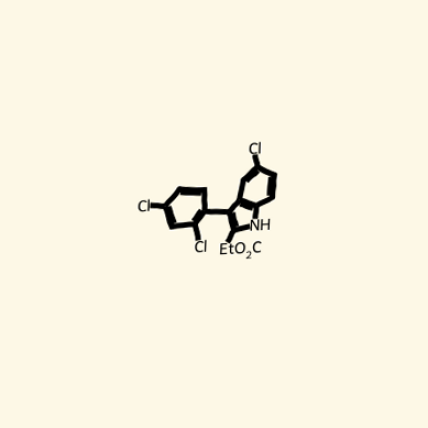 CCOC(=O)c1[nH]c2ccc(Cl)cc2c1-c1ccc(Cl)cc1Cl